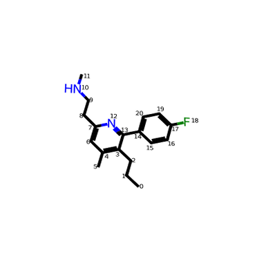 CCCc1c(C)cc(CCNC)nc1-c1ccc(F)cc1